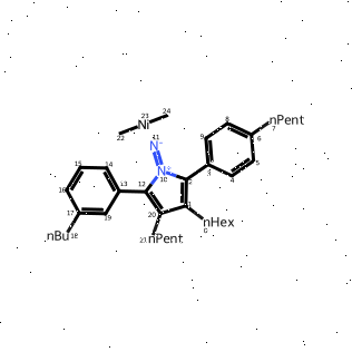 CCCCCCC1=C(c2ccc(CCCCC)cc2)[N+](=[N-])C(c2cccc(CCCC)c2)=C1CCCCC.[CH3][Ni][CH3]